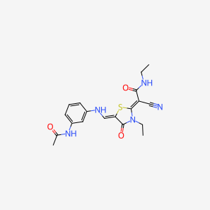 CCNC(=O)C(C#N)=c1sc(=CNc2cccc(NC(C)=O)c2)c(=O)n1CC